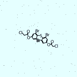 O=C(CCl)Oc1cc(Br)c(Sc2c(Br)cc(OC(=O)CCl)cc2Br)c(Br)c1